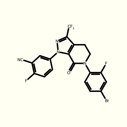 N#Cc1cc(-n2nc(C(F)(F)F)c3c2C(=O)N(c2ccc(Br)cc2F)CC3)ccc1F